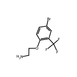 NCCOc1ccc(Br)cc1C(F)(F)F